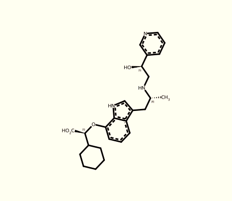 C[C@H](Cc1c[nH]c2c(O[C@H](C(=O)O)C3CCCCC3)cccc12)NC[C@@H](O)c1cccnc1